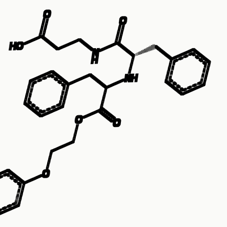 O=C(O)CCNC(=O)[C@H](Cc1ccccc1)NC(Cc1ccccc1)C(=O)OCCOc1ccccc1